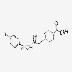 O=C(O)N1CCC(CN[C@@H]2C[C@H]2c2ccc(I)cc2)CC1